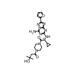 CC(C)(O)CC(=O)N1CCN(C(=O)[C@@H](Nc2nc(N)n3nc(-c4ccco4)nc3n2)C2CC2)CC1